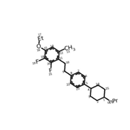 CCCC1CCC(c2ccc(CCc3c(C)cc(OCC)c(F)c3F)cc2)CC1